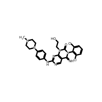 CN1CCN(c2ccc(Nc3ncc4c(=N)n(-c5c(Cl)cccc5Cl)c(=O)n(CCO)c4n3)cc2)CC1